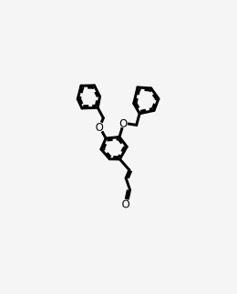 O=CC=Cc1ccc(OCc2ccccc2)c(OCc2ccccc2)c1